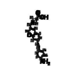 Nc1ccc(C#Cc2ccc3c(c2)OCC(CN2CC(C(=O)O)C2)=C3)cc1